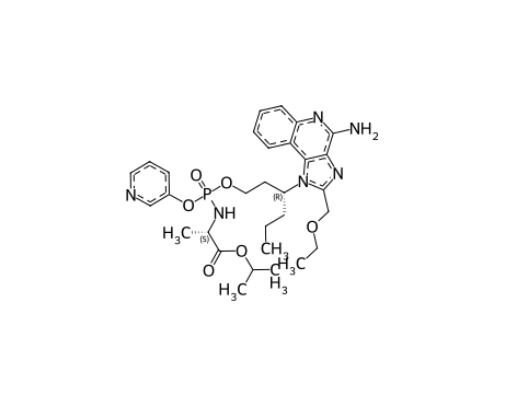 CCC[C@H](CCOP(=O)(N[C@@H](C)C(=O)OC(C)C)Oc1cccnc1)n1c(COCC)nc2c(N)nc3ccccc3c21